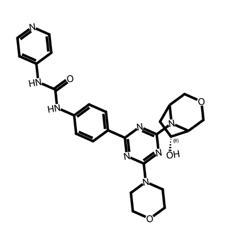 O=C(Nc1ccncc1)Nc1ccc(-c2nc(N3CCOCC3)nc(N3C4COCC3[C@H](O)C4)n2)cc1